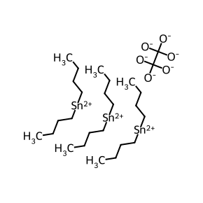 CCC[CH2][Sn+2][CH2]CCC.CCC[CH2][Sn+2][CH2]CCC.CCC[CH2][Sn+2][CH2]CCC.[O-]C([O-])([O-])C([O-])([O-])[O-]